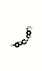 COc1ccc2c(c1)C[C@@H](CN1CCC(O)(Cc3ccc(Cl)cc3)CC1)O2